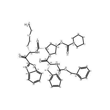 NCCCC[C@H](NC(=O)[C@@H]1C[C@@H](OC(=O)N2CCCCC2)CN1C(=O)[C@@H](Cc1ccccc1)NC(=O)OCc1ccccc1)C(=O)c1nc2ccccc2o1